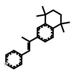 C/C(=C\c1ccncc1)c1ccc2c(c1)C(C)(C)CCC2(C)C